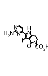 Nc1nccc(-c2[nH]c3c(c2I)C(=O)N(C(=O)O)CC3)n1